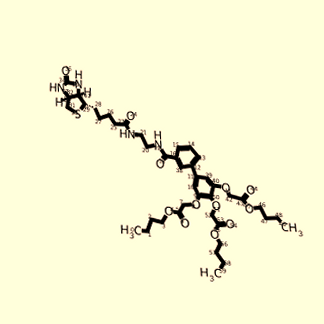 CCCCOC(=O)COc1cc(-c2cccc(C(=O)NCCNC(=O)CCCC[C@@H]3SC[C@@H]4NC(=O)N[C@@H]43)c2)cc(OCC(=O)OCCCC)c1OCC(=O)OCCCC